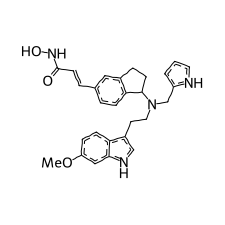 COc1ccc2c(CCN(Cc3ccc[nH]3)C3CCc4cc(/C=C/C(=O)NO)ccc43)c[nH]c2c1